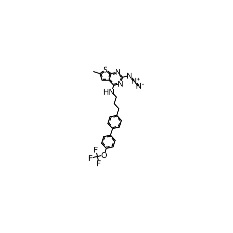 Cc1cc2c(NCCCc3ccc(-c4ccc(OC(F)(F)F)cc4)cc3)nc(N=[N+]=[N-])nc2s1